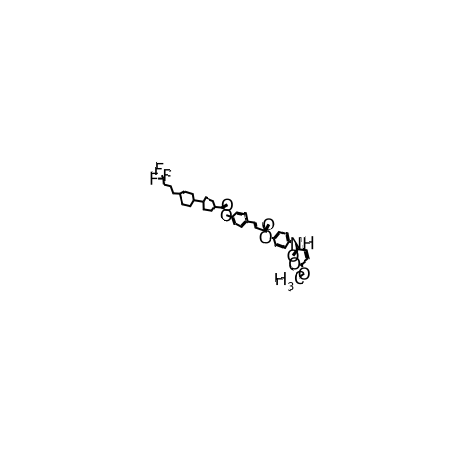 COC(=O)/C=C\C(=O)Nc1ccc(OC(=O)/C=C/c2ccc(OC(=O)C3CCC(C4CCC(CCCC(F)(F)F)CC4)CC3)cc2)cc1